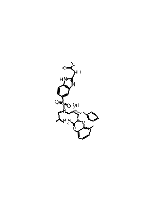 COC(=O)Nc1nc2cc(S(=O)(=O)N(CC(C)C)C[C@H](O)[C@H](Cc3ccccc3)C(Oc3c(C)cccc3C)C(N)=O)ccc2[nH]1